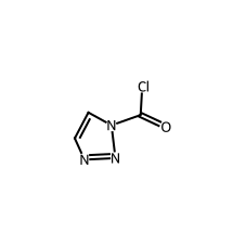 O=C(Cl)n1ccnn1